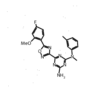 COc1cc(F)ccc1-c1nc(-c2nc(N)nc(N(C)c3cccc(C)c3)n2)no1